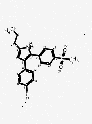 CCCc1cc(-c2ccc(F)cc2)c(-c2ccc(S(C)(=O)=O)cc2)[nH]1